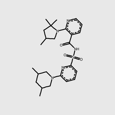 CC1CC(C)CN(c2cccc(S(=O)(=O)NC(=O)c3cccnc3N3CC(C)CC3(C)C)n2)C1